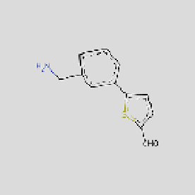 NCc1cccc(-c2ccc(C=O)s2)c1